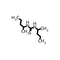 CCCC(C)NC(=S)NC(C)CCC